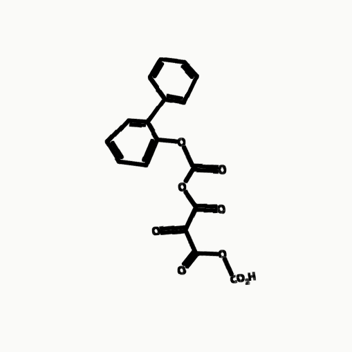 O=C(O)OC(=O)C(=O)C(=O)OC(=O)Oc1ccccc1-c1ccccc1